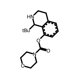 CC(C)(C)C1NCCc2cccc(OC(=O)N3CCOCC3)c21